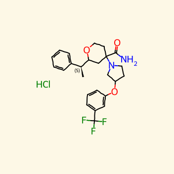 C[C@@H](c1ccccc1)C1CC(C(N)=O)(N2CCC(Oc3cccc(C(F)(F)F)c3)C2)CCO1.Cl